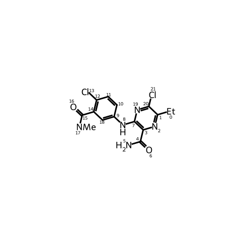 CCc1nc(C(N)=O)c(Nc2ccc(Cl)c(C(=O)NC)c2)nc1Cl